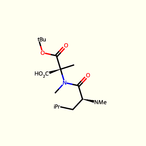 CN[C@@H](CC(C)C)C(=O)N(C)[C@](C)(C(=O)O)C(=O)OC(C)(C)C